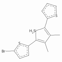 CC1=C(c2cccs2)[SiH2]C(c2ccc(Br)s2)=C1C